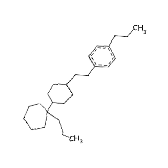 CCCc1ccc(CCC2CCC(C3(CCC)CCCCC3)CC2)cc1